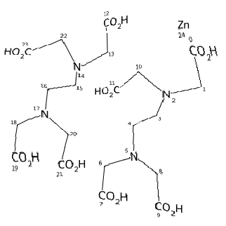 O=C(O)CN(CCN(CC(=O)O)CC(=O)O)CC(=O)O.O=C(O)CN(CCN(CC(=O)O)CC(=O)O)CC(=O)O.[Zn]